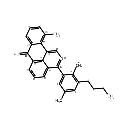 CCCCc1cc(C)cc(-c2ncc3c4c(cccc24)C(=O)c2cccc(C)c2-3)c1C